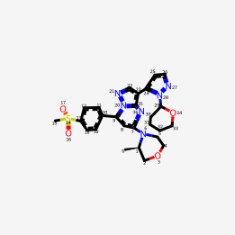 C[C@@H]1COCCN1c1cc(-c2ccc(S(C)(=O)=O)cc2)n2ncc(-c3ccnn3C3CCCCO3)c2n1